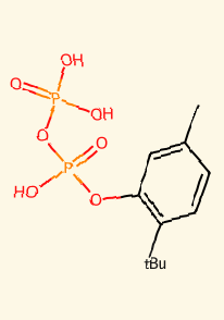 Cc1ccc(C(C)(C)C)c(OP(=O)(O)OP(=O)(O)O)c1